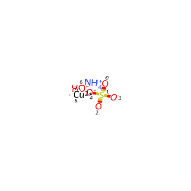 O=S(=O)([O-])[O-].[Cu+2].[NH4+].[OH-]